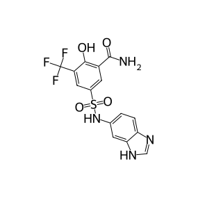 NC(=O)c1cc(S(=O)(=O)Nc2ccc3nc[nH]c3c2)cc(C(F)(F)F)c1O